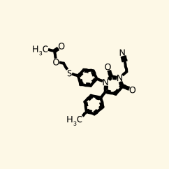 CC(=O)OCSc1ccc(-n2c(-c3ccc(C)cc3)cc(=O)n(CC#N)c2=O)cc1